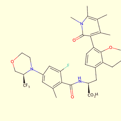 Cc1cc(N2CCOC[C@@H]2C(F)(F)F)cc(F)c1C(=O)N[C@@H](Cc1ccc(-c2c(C)c(C)c(C)n(C)c2=O)c2c1CCCO2)C(=O)O